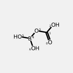 O=C(O)OB(O)O